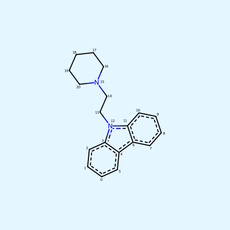 c1ccc2c(c1)c1ccccc1n2CCN1CCCCC1